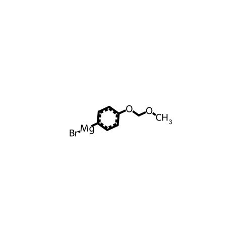 COCOc1cc[c]([Mg][Br])cc1